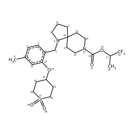 Cc1ccc(CN2CCCC23CCN(C(=O)OC(C)C(F)(F)F)CC3)c(OC2CCS(=O)(=O)CC2)c1